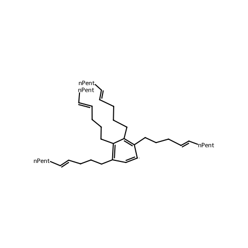 CCCCC/C=C/CCCc1[c]cc(CCC/C=C/CCCCC)c(CCC/C=C/CCCCC)c1CCC/C=C/CCCCC